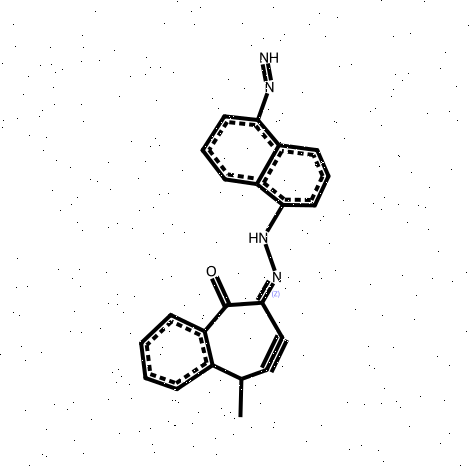 CC1C#C/C(=N/Nc2cccc3c(N=N)cccc23)C(=O)c2ccccc21